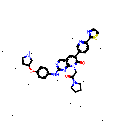 O=C(Cn1c(=O)c(-c2ccc(-c3nccs3)nc2)cc2cnc(Nc3ccc(OC4CCNC4)cc3)nc21)N1CCCC1